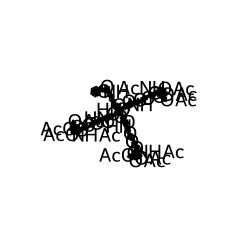 CC(=O)NC1C(OCCOCCOCCNC(=O)CCOCC(COCCC(=O)NCCOCCOCCOC2OC(COC(C)=O)C(OC(C)=O)C(OC(C)=O)C2NC(C)=O)(COCCC(=O)NCCOCCOCCOC2OC(COC(C)=O)C(OC(C)=O)C(OC(C)=O)C2NC(C)=O)NC(=O)CCCCCNC(=O)OCc2ccccc2)OC(COC(C)=O)C(OC(C)=O)C1OC(C)=O